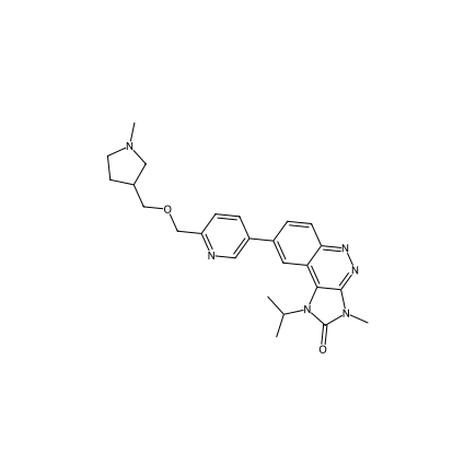 CC(C)n1c(=O)n(C)c2nnc3ccc(-c4ccc(COCC5CCN(C)C5)nc4)cc3c21